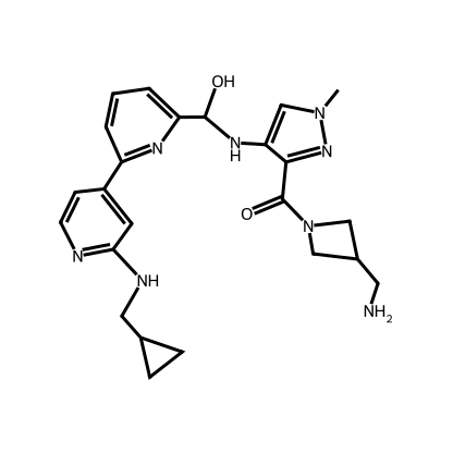 Cn1cc(NC(O)c2cccc(-c3ccnc(NCC4CC4)c3)n2)c(C(=O)N2CC(CN)C2)n1